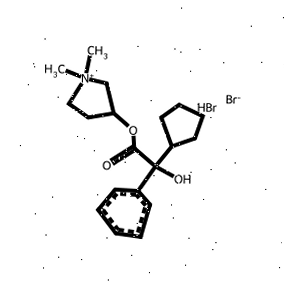 Br.C[N+]1(C)CCC(OC(=O)C(O)(c2ccccc2)C2CCCC2)C1.[Br-]